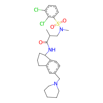 CC(CN(C)S(=O)(=O)c1cccc(Cl)c1Cl)C(=O)NC1CCCc2cc(CN3CCCCC3)ccc21